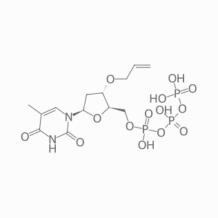 C=CCO[C@H]1C[C@H](n2cc(C)c(=O)[nH]c2=O)O[C@@H]1COP(=O)(O)OP(=O)(O)OP(=O)(O)O